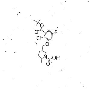 CC1CCC(COc2cc(F)cc(C(=O)OC(C)(C)C)c2Cl)CN1C(=O)O